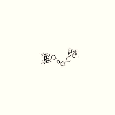 CCC(=CC#CC(O)(C(F)(F)F)C(F)(F)F)c1cccc(OCc2ccc(C(C)(C)O[SiH2]C(C)(C)C)c(C(C)(C)O[SiH2]C(C)(C)C)c2)c1